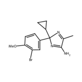 COc1ccc(C2(C3CC3)N=C(C)C(N)=N2)cc1Br